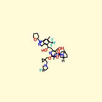 Cc1cc2c(cnn2C2CCCCO2)c(C(O)Cc2nc(OCC3(CN4CC[C@@H](F)C4)CC3)nc(N3C[C@H]4CC[C@@](C)(C3)N4C(=O)OC(C)(C)C)c2CO)c1C(F)(F)F